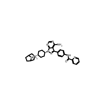 CN1C2CCC1CN([C@H]1CC[C@H](n3nc(-c4ccc(NC(=O)c5ccccn5)cc4)c4c(N)ncnc43)CC1)C2